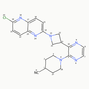 N#CC1CCN(c2nccnc2C2CN(c3ccc4nc(Cl)ccc4n3)C2)CC1